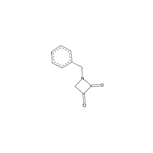 O=C1CN(Cc2ccccc2)C1=O